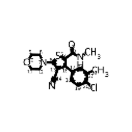 CNC(=O)c1sc(N2CCOCC2)c(C#N)c1-c1ccc(Cl)c(C)c1